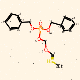 CC[SH]=COCOP(=O)(OCc1ccccc1)OCc1ccccc1